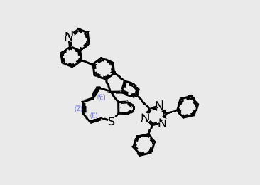 C1=CC2S/C=C/C=C\C=C\C3(c4cc(-c5nc(-c6ccccc6)nc(-c6ccccc6)n5)ccc4-c4ccc(-c5cccc6ncccc56)cc43)C2C=C1